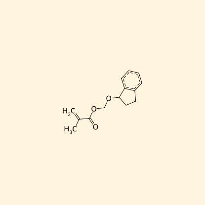 C=C(C)C(=O)OCOC1CCc2ccccc21